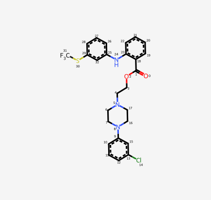 O=C(OCCN1CCN(c2cccc(Cl)c2)CC1)c1ccccc1Nc1cccc(SC(F)(F)F)c1